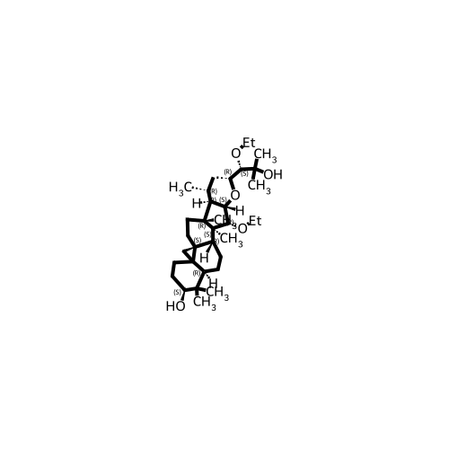 CCO[C@@H]([C@H]1C[C@@H](C)[C@H]2[C@H](O1)[C@H](OCC)[C@@]1(C)[C@@H]3CC[C@H]4C(C)(C)[C@@H](O)CCC45C[C@@]35CC[C@]21C)C(C)(C)O